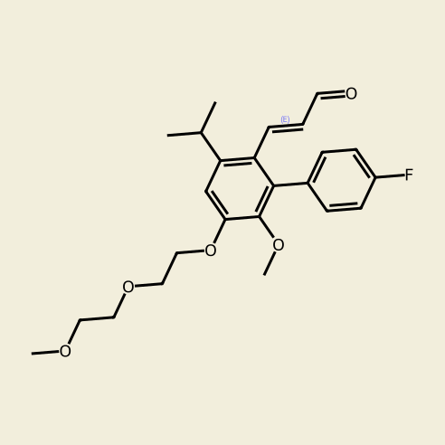 COCCOCCOc1cc(C(C)C)c(/C=C/C=O)c(-c2ccc(F)cc2)c1OC